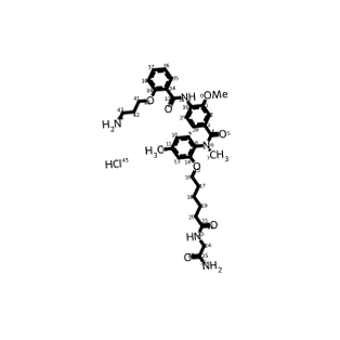 COc1cc(C(=O)N(C)c2ccc(C)cc2OCCCCCC(=O)NCC(N)=O)ccc1NC(=O)c1ccccc1OCCCN.Cl